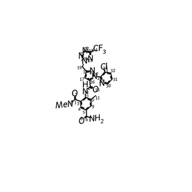 CNC(=O)c1cc(C(N)=O)cc(C)c1NC(=O)c1cc(Cn2nnc(C(F)(F)F)n2)nn1-c1ncccc1Cl